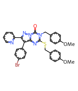 COc1ccc(CSc2nc3c(-c4ccc(Br)cc4)c(-c4ccccn4)nn3c(=O)n2Cc2ccc(OC)cc2)cc1